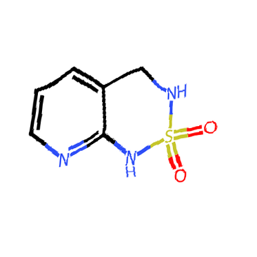 O=S1(=O)NCc2cccnc2N1